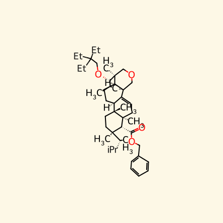 CCC(CC)(CC)CO[C@H]1[C@H](C)C[C@@]23COC[C@@]1(C)[C@@H]2CC[C@H]1C3=CC[C@@]2(C)[C@H](C(=O)OCc3ccccc3)[C@@](C)([C@H](C)C(C)C)CC[C@]12C